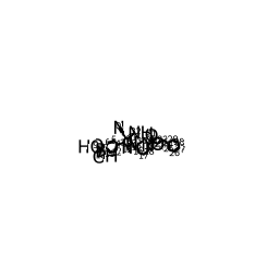 N#Cc1c(-c2ccc(B(O)O)cc2)nn(C2CCCN(C(=O)OCc3ccccc3)C2)c1N